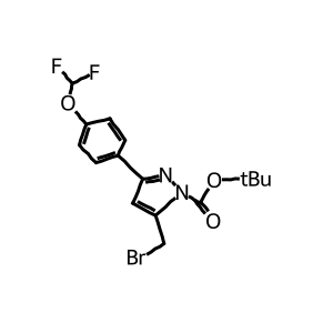 CC(C)(C)OC(=O)n1nc(-c2ccc(OC(F)F)cc2)cc1CBr